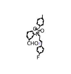 Cc1ccc(S(=O)(=O)N(C/C=C/c2ccc(F)cc2)c2cccc(C=O)c2)cc1